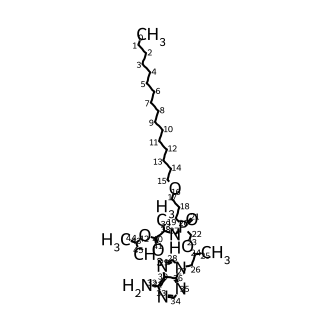 CCCCCCCCCCCCCCCCOCCCP(=O)(COC(C)Cn1cnc2c(N)ncnc21)NC(C)C(=O)OC(C)C